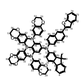 CC1(C)c2ccccc2-c2ccc(N(c3cc4c5c(c3)N(c3ccc6c(c3)OCCO6)c3cc6c(cc3B5c3cc5c(cc3N4c3ccc4c(c3)OCCO4)OCCO5)OCCO6)c3ccc4cc(-c5cc6ccccc6o5)ccc4c3)cc21